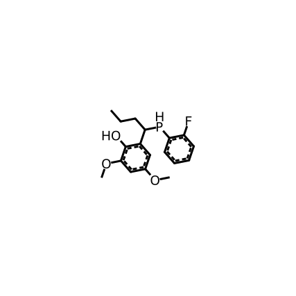 CCCC(Pc1ccccc1F)c1cc(OC)cc(OC)c1O